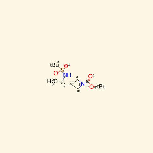 C[C@@H](CC1CN(C(=O)OC(C)(C)C)C1)NS(=O)(=O)C(C)(C)C